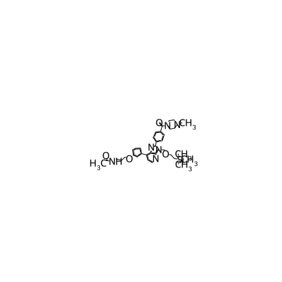 CC(=O)NCCCOc1cccc(-c2ccnc3c2nc(-c2ccc(C(=O)N4CCN(C)CC4)cc2)n3COCC[Si](C)(C)C)c1